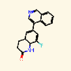 O=C1CCC2C=C(c3cncc4ccccc34)C=C(F)C2N1